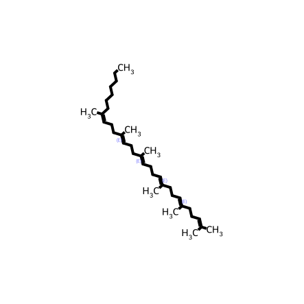 CCCCCCCC(C)=CCC/C(C)=C/CC/C(C)=C/CC/C=C(\C)CC/C=C(\C)CCC=C(C)C